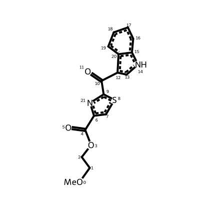 COCCOC(=O)c1csc(C(=O)c2c[nH]c3ccccc23)n1